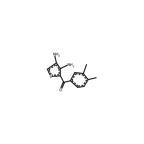 Cc1ccc(C(=O)c2scc(N)c2N)cc1C